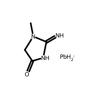 CN1CC(=O)NC1=N.[PbH2]